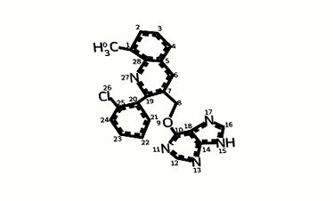 Cc1cccc2cc(COc3ncnc4[nH]cnc34)c(-c3ccccc3Cl)nc12